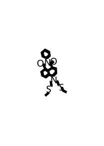 CCSCCN(CCSCC)c1ccc2c3c(cccc13)C(=O)N(c1ccccc1)C2=O